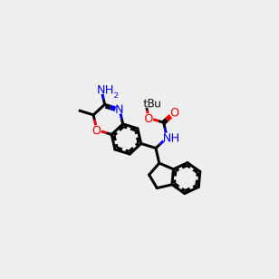 CC1Oc2ccc(C(NC(=O)OC(C)(C)C)C3CCc4ccccc43)cc2N=C1N